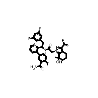 CC1(O)CCCc2c(C(F)F)nn(CC(=O)NC(Cc3cc(F)cc(F)c3)c3ncccc3-c3ccc(F)c(C(N)=O)c3)c21